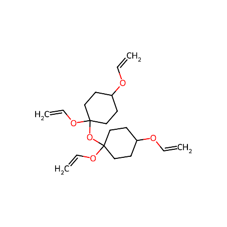 C=COC1CCC(OC=C)(OC2(OC=C)CCC(OC=C)CC2)CC1